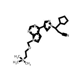 C[Si](C)(C)CCOCn1ccc2c(-c3cnn(C(CC#N)C4CCCC4)c3)ncnc21